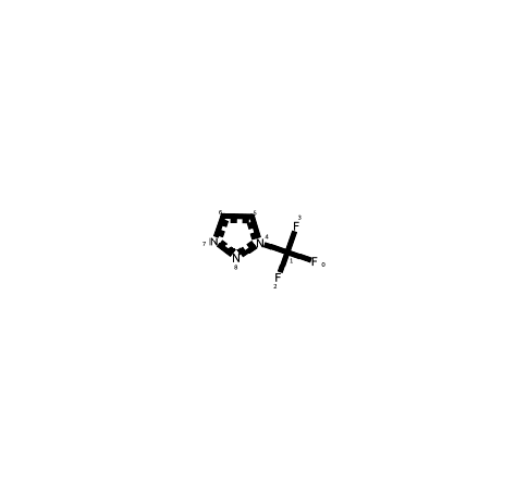 FC(F)(F)n1ccnn1